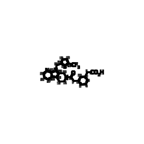 O=C(O)Cc1cccc(CC(=O)N2CCc3c(n(Cc4ccc(C(F)(F)F)s4)c4ncccc34)C2)c1